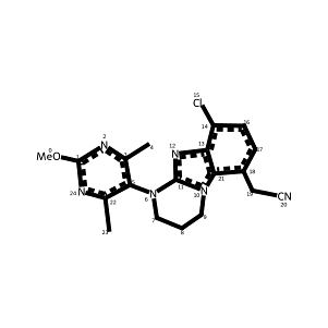 COc1nc(C)c(N2CCCn3c2nc2c(Cl)ccc(CC#N)c23)c(C)n1